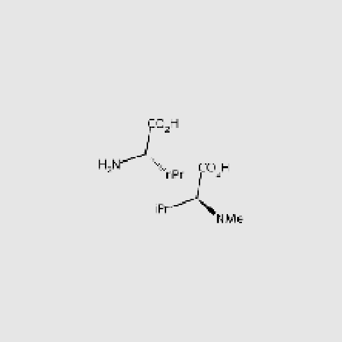 CCC[C@H](N)C(=O)O.CN[C@H](C(=O)O)C(C)C